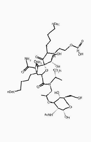 CCCCCCCCCCCCCCCC(=O)[C@@](OC(C[C@H](N)C(N)=O)C(=O)N(CC(C)O[C@H]1[C@H](O)[C@@H](CO)O[C@H](O)[C@@H]1NC(C)=O)[C@@H](C)C(=O)O)(C(=O)C(CCCCCCCCCCCCCC)NCCO[PH](=O)O)[C@@H](O)CO